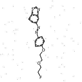 FCCOCCOc1ccc(N=Nc2ccc3scnc3c2)cc1